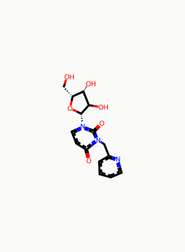 O=c1ccn([C@@H]2O[C@H](CO)[C@H](O)C2O)c(=O)n1Cc1ccccn1